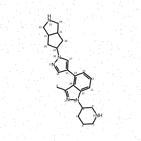 Cc1nn(C2CCCNC2)c2cccc(-c3cnn(C4CC5CNCC5C4)c3)c12